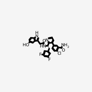 NC(=O)c1cc(-c2cccnc2[C@H](Cc2cc(F)cc(F)c2)NC(=O)Cc2c[nH]c3ccc(O)cc23)ccc1Cl